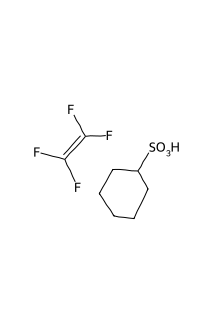 FC(F)=C(F)F.O=S(=O)(O)C1CCCCC1